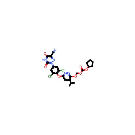 CC(C)c1cc(Oc2c(Cl)cc(-n3nc(C#N)c(=O)[nH]c3=O)cc2Cl)nnc1OCOC(=O)OC1CCCC1